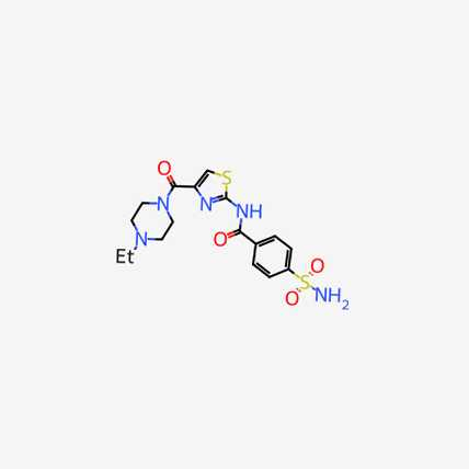 CCN1CCN(C(=O)c2csc(NC(=O)c3ccc(S(N)(=O)=O)cc3)n2)CC1